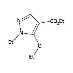 CCOC(=O)c1cnn(CC)c1OCC